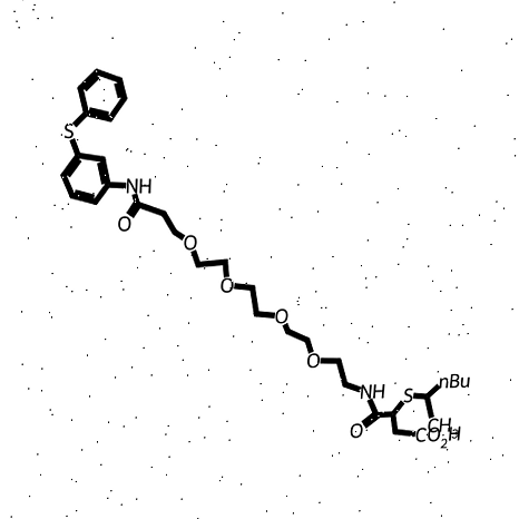 CCCCC(C)SC(CC(=O)O)C(=O)NCCOCCOCCOCCOCCC(=O)Nc1cccc(Sc2ccccc2)c1